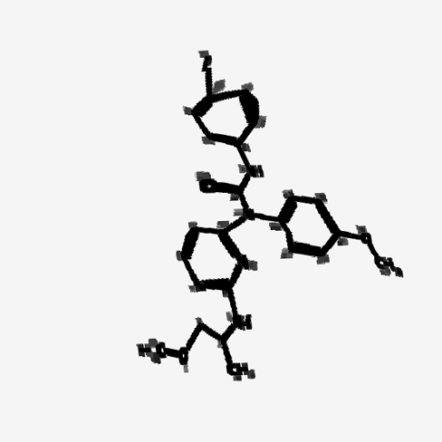 COCC(C)Nc1nccc(N(C(=O)Nc2ccc(F)cc2)c2ccc(OC)cc2)n1